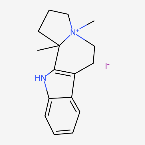 CC12CCC[N+]1(C)CCc1c2[nH]c2ccccc12.[I-]